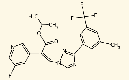 Cc1cc(-c2ncn(C=C(C(=O)OC(C)C)c3cncc(F)c3)n2)cc(C(F)(F)F)c1